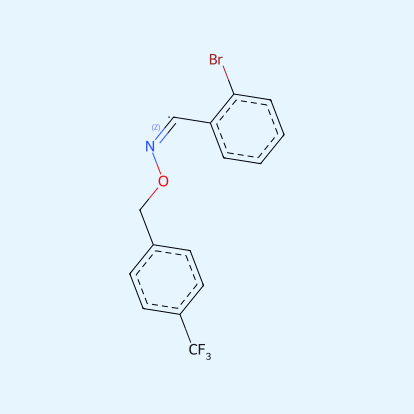 FC(F)(F)c1ccc(CO/N=[C]\c2ccccc2Br)cc1